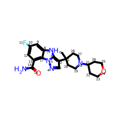 CC1(c2cnn3c2[nH]c2cc(F)cc(C(N)=O)c23)CCN(C2CCOCC2)CC1